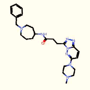 CN1CCN(c2ccc3nnc(CCC(=O)NC4CCCN(Cc5ccccc5)CC4)n3n2)CC1